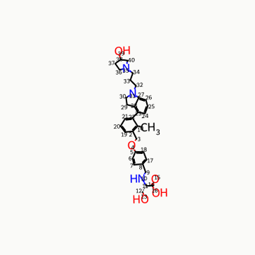 Cc1c(COc2ccc(CN[C@@H](CO)C(=O)O)cc2)cccc1-c1cccc2c1CCN2CCCN1CCC(O)C1